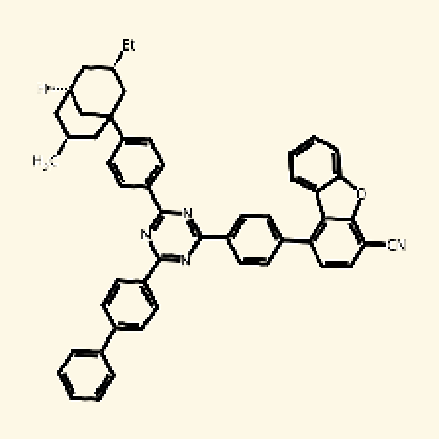 CC[C@@H]1C[C@@H]2C[C@H](C)CC(c3ccc(-c4nc(-c5ccc(-c6ccccc6)cc5)nc(-c5ccc(-c6ccc(C#N)c7oc8ccccc8c67)cc5)n4)cc3)(C1)C2